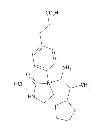 CC(C1CCCC1)C(N)[N+]1(c2ccc(CCC(=O)O)cc2)CCNC1=O.Cl